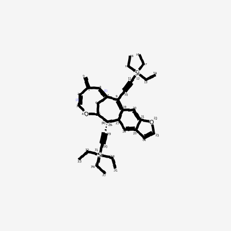 C=C1/C=C\OC2C/C(=C\1)C(C#C[Si](CC)(CC)CC)=C1C=c3occc3=CC1[C@@H]2C#C[Si](CC)(CC)CC